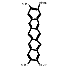 CCCCCCc1cc2cc3cc4cc5cc(CCCCCC)c(CCCCCC)cc5cc4cc3cc2cc1CCCCCC